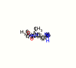 CCCCc1cn(C2CCCC2OC)c(=O)n1Cc1cc(-c2cccc(-c3nnn[nH]3)c2)ccn1